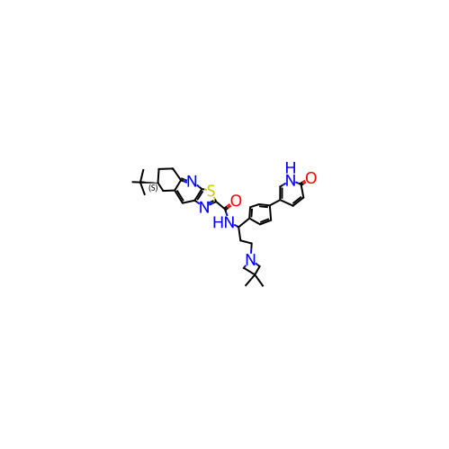 CC1(C)CN(CCC(NC(=O)c2nc3cc4c(nc3s2)CC[C@H](C(C)(C)C)C4)c2ccc(-c3ccc(=O)[nH]c3)cc2)C1